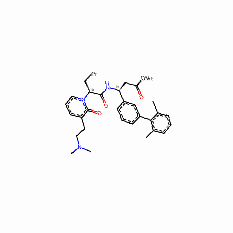 COC(=O)C[C@H](NC(=O)[C@H](CC(C)C)n1cccc(CCN(C)C)c1=O)c1cccc(-c2c(C)cccc2C)c1